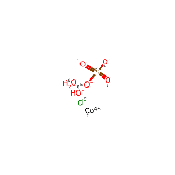 O.O=S(=O)([O-])[O-].[Cl-].[Cu+4].[OH-]